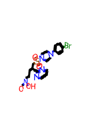 O=CN(O)CCCC(CS(=O)(=O)N1CCN(c2ccc(Br)cc2)CC1)c1ncccn1